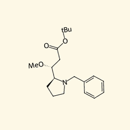 CO[C@H](CC(=O)OC(C)(C)C)[C@@H]1CCCN1Cc1ccccc1